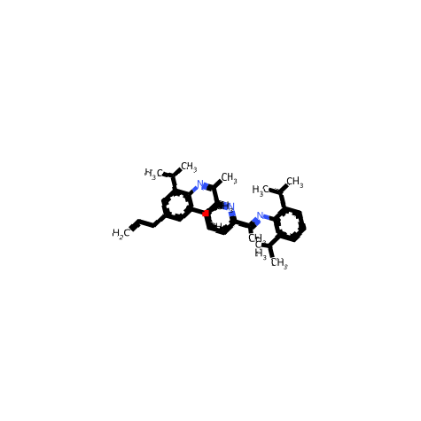 C=CCc1cc(C(C)C)c(N=C(C)c2cccc(C(C)=Nc3c(C(C)C)cccc3C(C)C)n2)c(C(C)C)c1